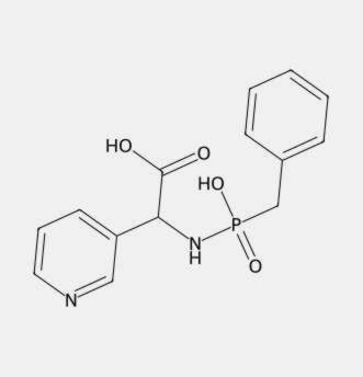 O=C(O)C(NP(=O)(O)Cc1ccccc1)c1cccnc1